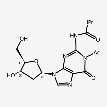 CC(=O)n1c(NC(=O)C(C)C)nc2c(ncn2[C@H]2C[C@H](O)[C@@H](CO)O2)c1=O